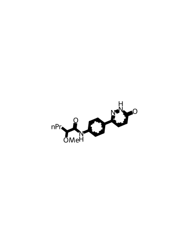 CCCC(OC)C(=O)Nc1ccc(-c2ccc(=O)[nH]n2)cc1